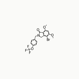 COc1cc(OC)c2c(c1Br)CN(Cc1ccc(OC(F)(F)F)cc1)C2=O